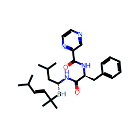 CC(C)C=CC(C)(C)B[C@H](CC(C)C)NC(=O)[C@H](Cc1ccccc1)NC(=O)c1cnccn1